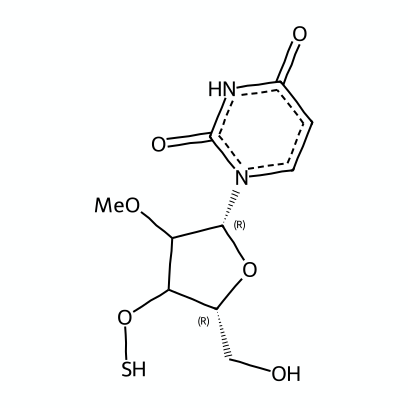 COC1C(OS)[C@@H](CO)O[C@H]1n1ccc(=O)[nH]c1=O